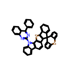 c1ccc(-c2nc(-n3c4ccccc4c4ccc5c6c(sc5c43)-c3ccccc3C63c4ccccc4Sc4ccccc43)nc3ccccc23)cc1